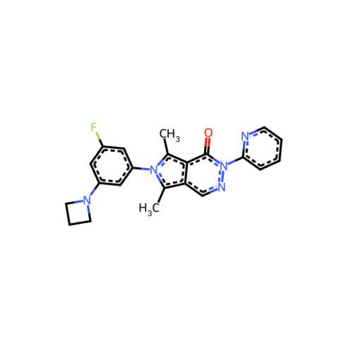 Cc1c2cnn(-c3ccccn3)c(=O)c2c(C)n1-c1cc(F)cc(N2CCC2)c1